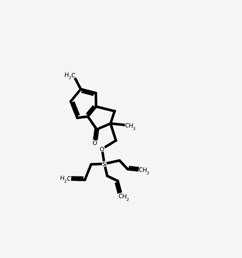 C=CC[Si](CC=C)(CC=C)OCC1(C)Cc2cc(C)ccc2C1=O